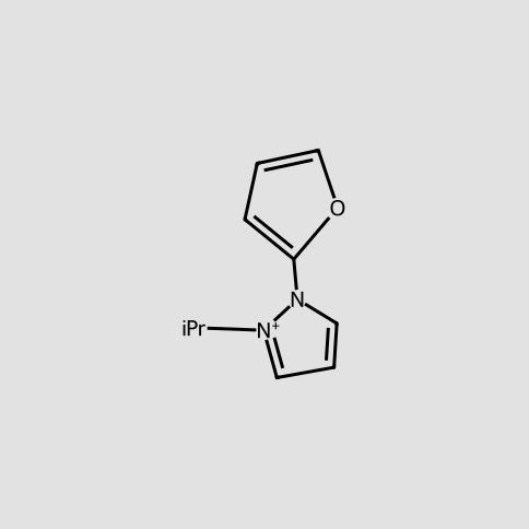 CC(C)[n+]1cccn1-c1ccco1